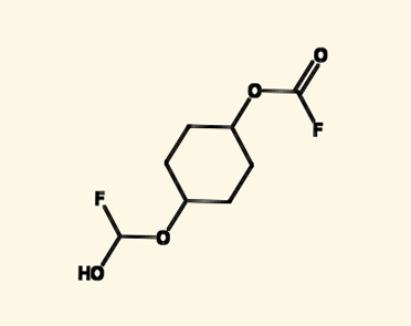 O=C(F)OC1CCC(OC(O)F)CC1